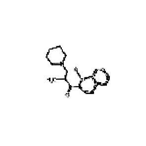 CC(CN1CCCCC1)C(=O)c1ccc2ccccc2c1O